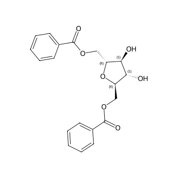 O=C(OC[C@H]1O[C@H](COC(=O)c2ccccc2)[C@@H](O)[C@@H]1O)c1ccccc1